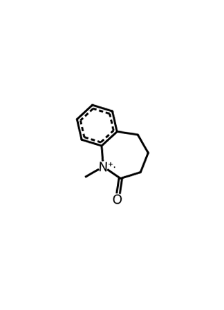 C[N+]1C(=O)CCCc2ccccc21